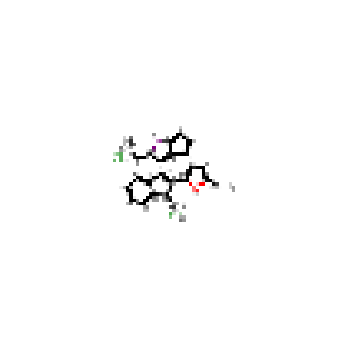 CCC1=PC2=CC=CC2=C1.Cc1ccc(C2=Cc3ccccc3[CH]2[Zr+2])o1.[Cl-].[Cl-]